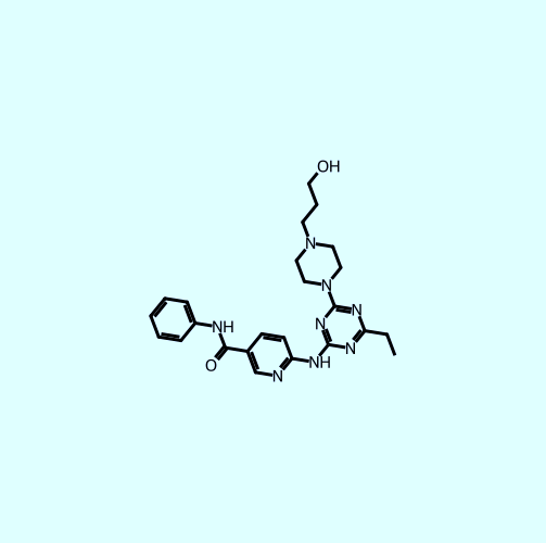 CCc1nc(Nc2ccc(C(=O)Nc3ccccc3)cn2)nc(N2CCN(CCCO)CC2)n1